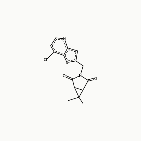 CC1(C)C2C(=O)N(Cc3cc4nccc(Cl)c4s3)C(=O)C21